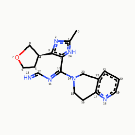 Cc1nc([C@H]2CCOC2)c(/C(=N\C=N)N2CCc3ncccc3C2)[nH]1